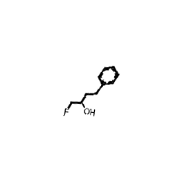 OC(CF)CCc1ccccc1